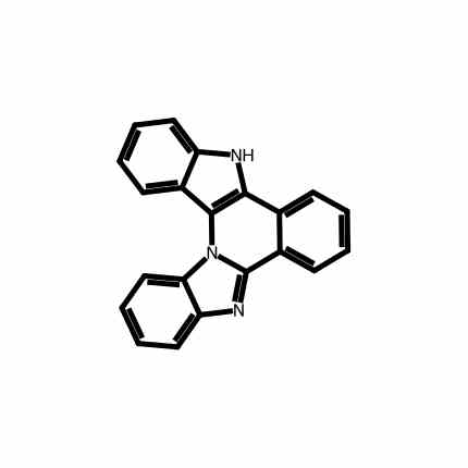 c1ccc2c(c1)nc1c3ccccc3c3[nH]c4ccccc4c3n21